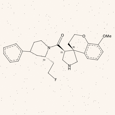 COc1cccc2c1OCC[C@]21CNC[C@H]1C(=O)N1CCC(c2ccccc2)C[C@H]1CCF